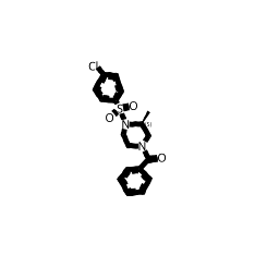 C[C@H]1CN(C(=O)c2ccccc2)CCN1S(=O)(=O)c1ccc(Cl)cc1